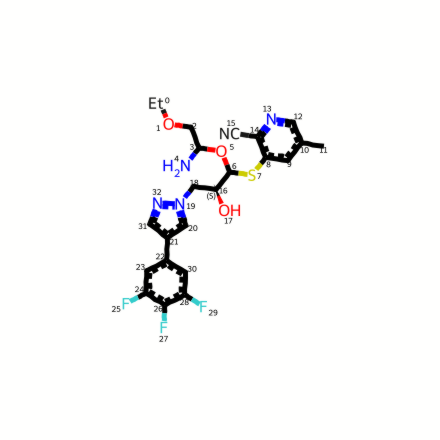 CCOCC(N)OC(Sc1cc(C)cnc1C#N)[C@@H](O)Cn1cc(-c2cc(F)c(F)c(F)c2)cn1